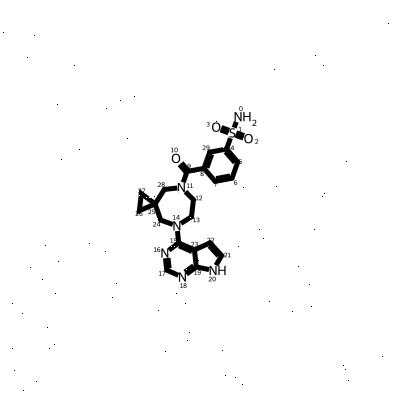 NS(=O)(=O)c1cccc(C(=O)N2CCN(c3ncnc4[nH]ccc34)CC3(CC3)C2)c1